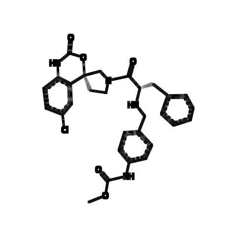 COC(=O)Nc1ccc(CN[C@@H](Cc2ccccc2)C(=O)N2CC[C@@]3(C2)OC(=O)Nc2ccc(Cl)cc23)cc1